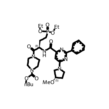 CCCCOC(=O)N1CCN(C(=O)[C@@H](CCP(=O)(OCC)OCC)NC(=O)c2cc(N3CC[C@H](OC)C3)nc(-c3ccccc3)n2)CC1